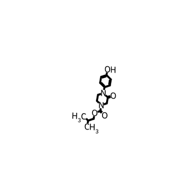 CC(C)COC(=O)N1CCN(c2ccc(O)cc2)C(=O)C1